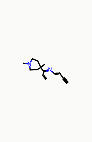 C#C/C=C/N=C(\C=C)C1(C)CCN(C)CC1